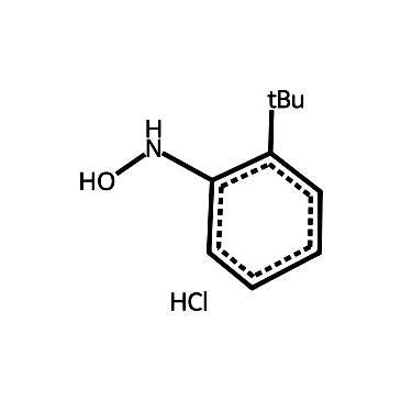 CC(C)(C)c1ccccc1NO.Cl